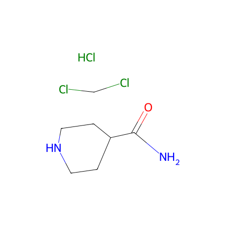 Cl.ClCCl.NC(=O)C1CCNCC1